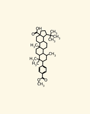 COC(=O)c1ccc(C2CC(C)C3C(CCC4(C)C5CCC6(C(=O)O)CCC(C(C)(C)C)C6C5CCC34)C2(C)C)cc1